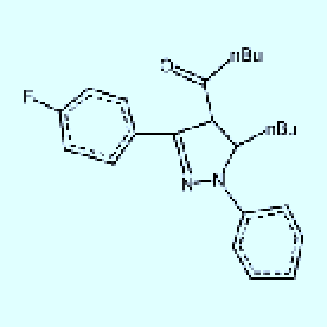 CCCCC(=O)C1C(c2ccc(F)cc2)=NN(c2ccccc2)C1CCCC